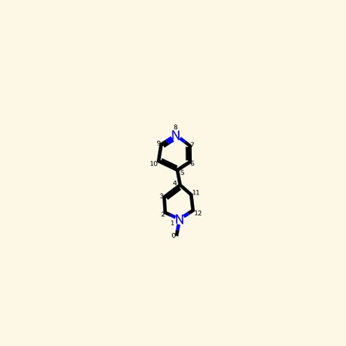 CN1CC=C(c2ccncc2)CC1